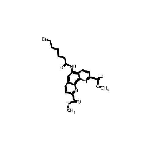 COC(=O)c1ccc2cc(NC(=O)CCCCCBr)c3ccc(C(=O)OC)nc3c2n1